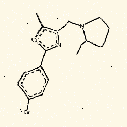 Cc1oc(-c2ccc(Br)cc2)nc1CN1CCCC1C